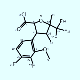 COc1c(C2C(C(=O)Cl)OC(C)(C(F)(F)F)C2C)ccc(F)c1F